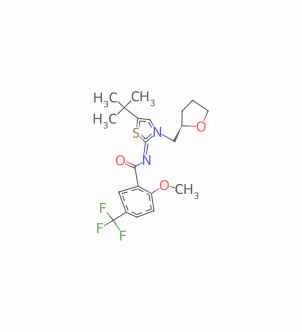 COc1ccc(C(F)(F)F)cc1C(=O)/N=c1\sc(C(C)(C)C)cn1C[C@H]1CCCO1